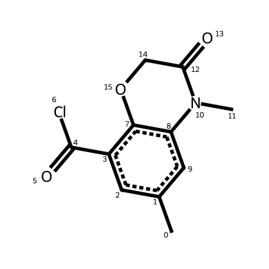 Cc1cc(C(=O)Cl)c2c(c1)N(C)C(=O)CO2